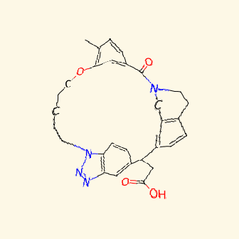 Cc1ccc2cc1OCCCCCn1nnc3cc(ccc31)C(CC(=O)O)c1ccc3c(c1)CN(CC3)C2=O